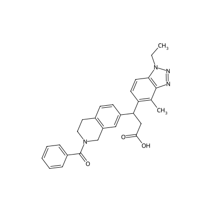 CCn1nnc2c(C)c(C(CC(=O)O)c3ccc4c(c3)CN(C(=O)c3ccccc3)CC4)ccc21